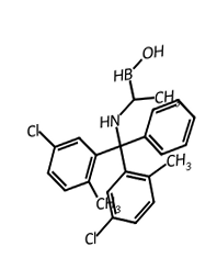 Cc1ccc(Cl)cc1C(NC(C)BO)(c1ccccc1)c1cc(Cl)ccc1C